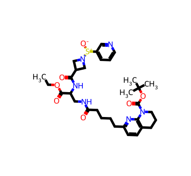 CCOC(=O)C(CNC(=O)CCCCc1ccc2c(n1)N(C(=O)OC(C)(C)C)CCC2)NC(=O)C1CN([S+]([O-])c2cccnc2)C1